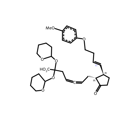 COc1ccc(OCC/C=C/[C@H]2CCC(=O)[C@@H]2CC=C=CCC(OC2CCCCO2)(OC2CCCCO2)C(=O)O)cc1